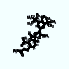 CCO[C@@]1(N=Cc2cc(C(C)(C)C)c(O)c(C(C)(C)C)c2)C(=O)N2C(C(=O)O)=C(COC(C)=O)CS[C@H]21